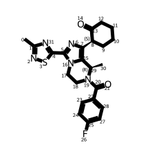 Cc1nsc(-c2nc([C@@H]3CCCCC3=O)c3n2CCN(C(=O)c2ccc(F)cc2)[C@@H]3C)n1